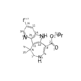 CC(C)OC(=O)C1=CNCC(C)(C)c2c1[nH]c1cc(F)cnc21